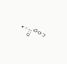 O=C(CNC(=O)C(c1nc2cc(F)c(-c3ccc(-n4ccccc4=O)cc3)cc2s1)S(=O)(=O)c1ccc(F)cc1)NC1CC1